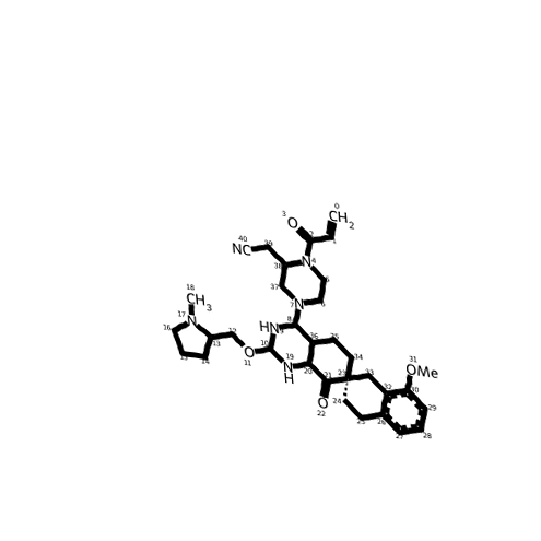 C=CC(=O)N1CCN(C2NC(OCC3CCCN3C)NC3C(=O)[C@@]4(CCc5cccc(OC)c5C4)CCC32)CC1CC#N